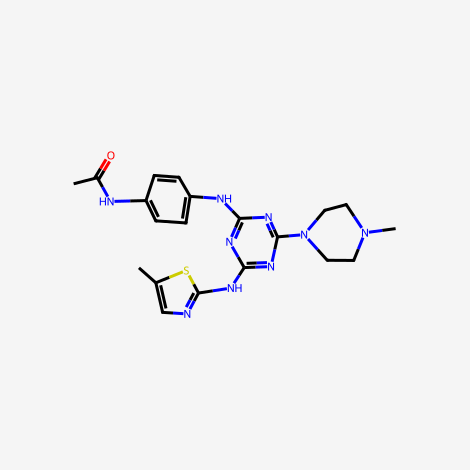 CC(=O)Nc1ccc(Nc2nc(Nc3ncc(C)s3)nc(N3CCN(C)CC3)n2)cc1